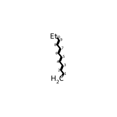 C=CC=CC=CC=CC=CCC